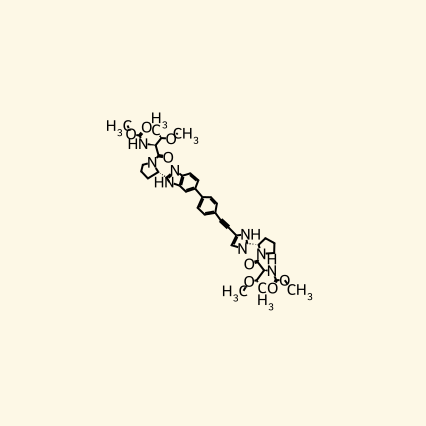 COC(=O)N[C@H](C(=O)N1CCC[C@H]1c1ncc(C#Cc2ccc(-c3ccc4nc([C@@H]5CCCN5C(=O)[C@@H](NC(=O)OC)[C@@H](C)OC)[nH]c4c3)cc2)[nH]1)[C@@H](C)OC